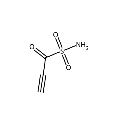 C#CC(=O)S(N)(=O)=O